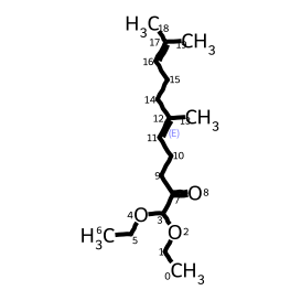 CCOC(OCC)C(=O)CC/C=C(\C)CCC=C(C)C